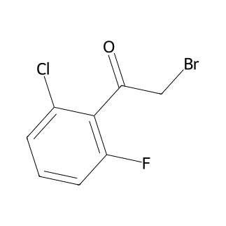 O=C(CBr)c1c(F)cccc1Cl